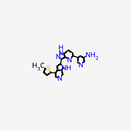 Cc1ccc(-c2cncc3[nH]c(-c4n[nH]c5ccc(-c6cncc(N)c6)nc45)cc23)s1